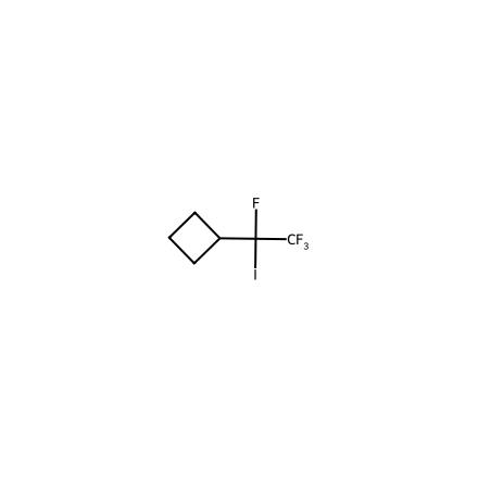 FC(F)(F)C(F)(I)C1CCC1